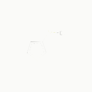 CCSc1[c]csc1